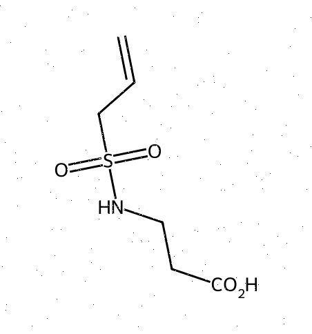 C=CCS(=O)(=O)NCCC(=O)O